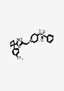 O=S(=O)(NC1CCN(Cc2nc(C3(c4ccc(C(F)(F)F)cc4)CCC3)no2)CC1)c1ccccc1